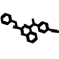 COc1ccc(N(C)c2nc(NCc3ccccc3)nc3ccccc23)cc1